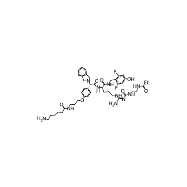 CCC(=O)NCCNC(=O)/N=C(/N)NCCC[C@@H](NC(=O)[C@H](c1ccc(OCCCNC(=O)CCCCCN)cc1)N1Cc2ccccc2C1)C(=O)NCc1c(F)cc(O)cc1F